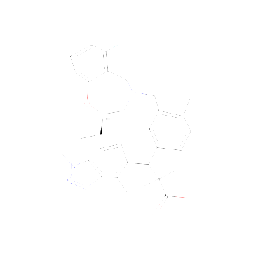 CC[C@@H]1CN(Cc2cc(C(c3ccc4c(nnn4C)c3C)C(C)(C)C(=O)O)ccc2C)Cc2c(F)cccc2O1